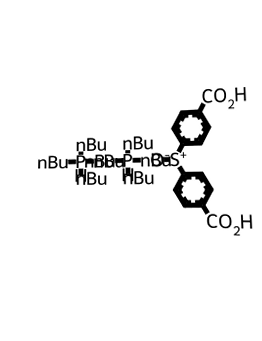 CCCC[PH](CCCC)(CCCC)CCCC.CCCC[PH](CCCC)(CCCC)CCCC.O=C(O)c1ccc([S+]([O-])c2ccc(C(=O)O)cc2)cc1